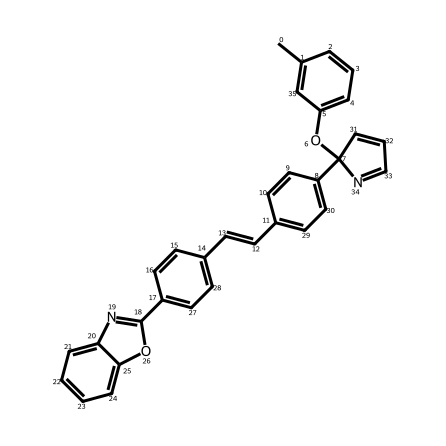 Cc1cccc(OC2(c3ccc(C=Cc4ccc(-c5nc6ccccc6o5)cc4)cc3)C=CC=N2)c1